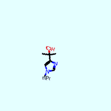 CCCn1cnc(C(C)(C)O)c1